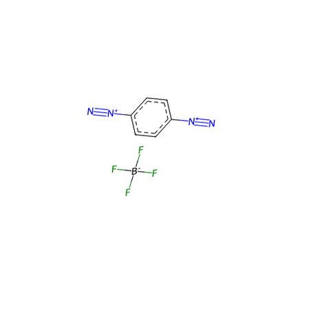 F[B-](F)(F)F.N#[N+]c1ccc([N+]#N)cc1